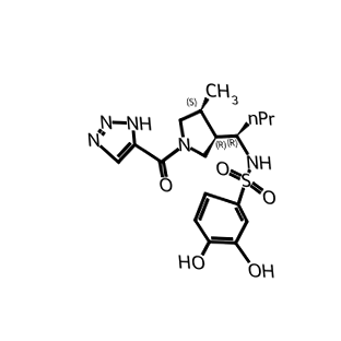 CCC[C@@H](NS(=O)(=O)c1ccc(O)c(O)c1)[C@H]1CN(C(=O)c2cnn[nH]2)C[C@H]1C